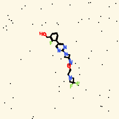 OCc1cccc(-c2cnc(N3CC(=NOCCN4CC(F)(F)C4)C3)nc2)c1F